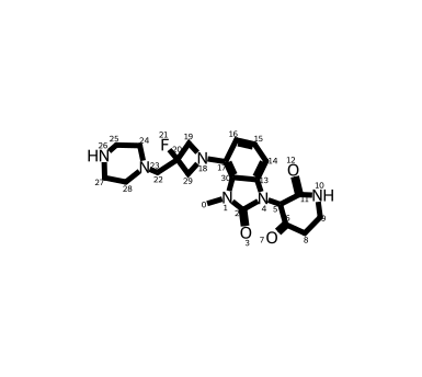 Cn1c(=O)n(C2C(=O)CCNC2=O)c2cccc(N3CC(F)(CN4CCNCC4)C3)c21